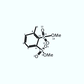 COS(=O)(=O)c1cccc(C)c1S(=O)(=O)OC